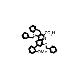 COc1ccccc1-c1cc(OCc2ccccc2)c2nc(C(=O)O)c(Cc3ccccc3)c(OCc3ccccc3)c2c1